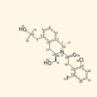 C[C@H]1c2cccc(CC(C)(C)O)c2C[C@H](CO)N1C(=O)Cc1c(F)cccc1Cl